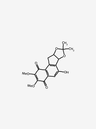 COC1=C(OC)C(=O)c2c(cc(O)c3c2CC2OC(C)(C)OC32)C1=O